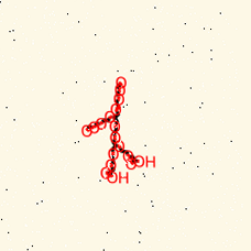 O=COCOCCOCC(COCCOCC(COCCOCC(=O)O)OCCOCC(=O)O)OCCOCOC=O